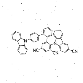 N#Cc1cc(C#N)c(-n2c3ccccc3c3cc(C#N)ccc32)c(-c2ccccc2-c2ccc(-n3c4ccccc4c4ccccc43)cc2)c1